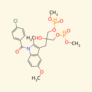 COc1ccc2c(c1)c(CC(O)(CO[PH](=O)OC)CO[PH](=O)OC)c(C)n2C(=O)c1ccc(Cl)cc1